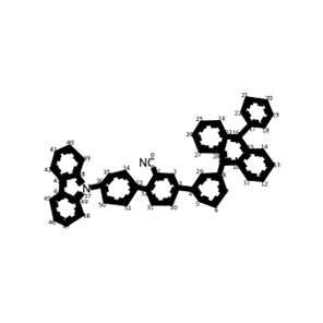 N#Cc1cc(-c2cccc(-c3c4ccccc4c(-c4ccccc4)c4ccccc34)c2)ccc1-c1ccc(-n2c3ccccc3c3ccccc32)cc1